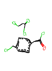 ClC(Cl)Cl.O=C(Cl)c1ccc(Cl)cc1